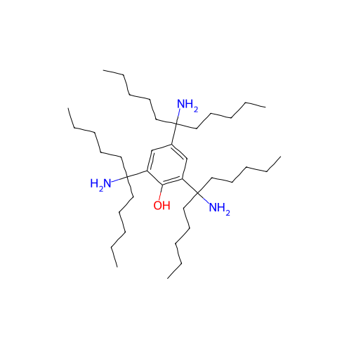 CCCCCC(N)(CCCCC)c1cc(C(N)(CCCCC)CCCCC)c(O)c(C(N)(CCCCC)CCCCC)c1